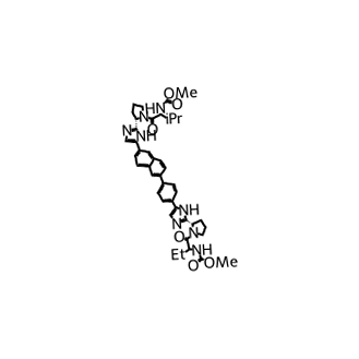 CCC(NC(=O)OC)C(=O)N1CCC[C@H]1c1ncc(-c2ccc(-c3ccc4cc(-c5cnc([C@@H]6CCCN6C(=O)C(NC(=O)OC)C(C)C)[nH]5)ccc4c3)cc2)[nH]1